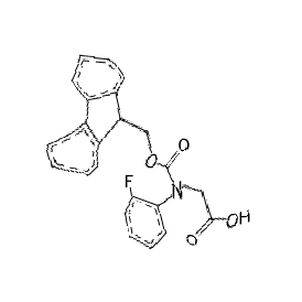 O=C(O)CN(C(=O)OCC1c2ccccc2-c2ccccc21)c1ccccc1F